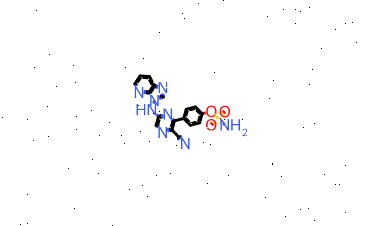 N#Cc1ncc(Nn2cnc3cccnc32)nc1-c1ccc(OS(N)(=O)=O)cc1